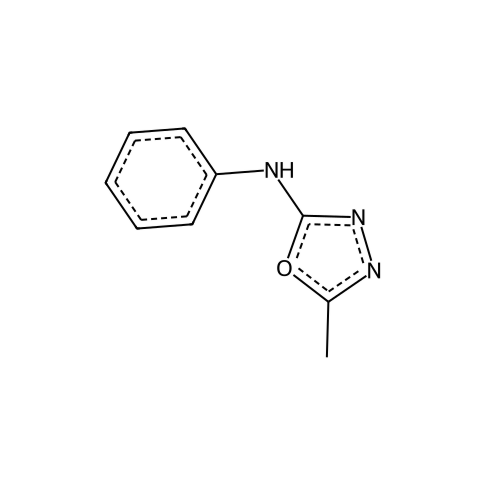 Cc1nnc(Nc2ccccc2)o1